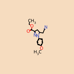 CCOC(=O)C1=NN(c2ccc(OC)cc2)C(CC#N)C1